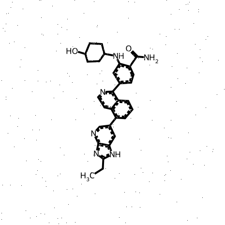 CCc1nc2ncc(-c3cccc4c(-c5ccc(C(N)=O)c(NC6CCC(O)CC6)c5)nccc34)cc2[nH]1